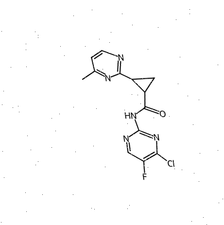 Cc1ccnc(C2CC2C(=O)Nc2ncc(F)c(Cl)n2)n1